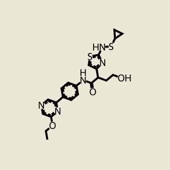 CCOc1cncc(-c2ccc(NC(=O)C(CCO)c3csc(NSC4CC4)n3)cc2)n1